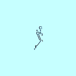 C=CF.[C]